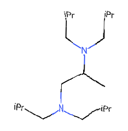 CC(C)CN(CC(C)C)CC(C)N(CC(C)C)CC(C)C